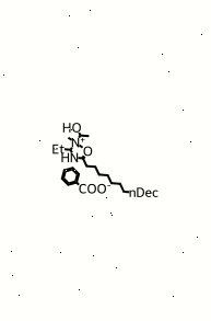 CCCCCCCCCCCCCCCCCC(=O)NC(CC)[N+](C)(C)C(C)O.O=C([O-])c1ccccc1